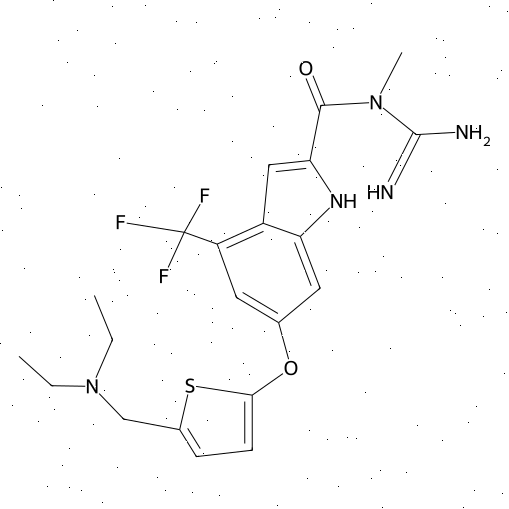 CCN(CC)Cc1ccc(Oc2cc(C(F)(F)F)c3cc(C(=O)N(C)C(=N)N)[nH]c3c2)s1